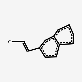 ClC=Cc1ccc2ccccc2c1